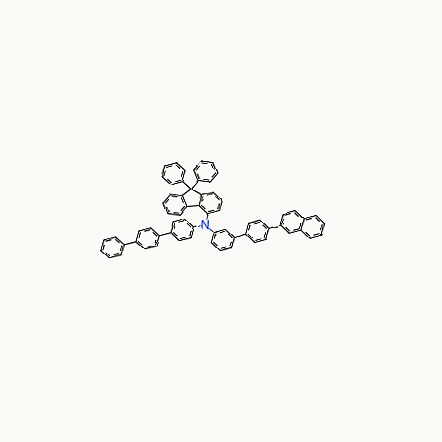 c1ccc(-c2ccc(-c3ccc(N(c4cccc(-c5ccc(-c6ccc7ccccc7c6)cc5)c4)c4cccc5c4-c4ccccc4C5(c4ccccc4)c4ccccc4)cc3)cc2)cc1